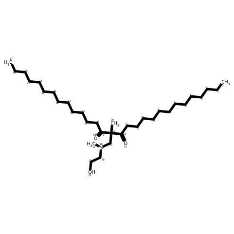 CCCCCCCCCCCCCC(=O)C(C)(CN(C)CCO)C(=O)CCCCCCCCCCCCC